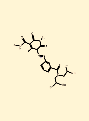 CCCCC(CC)CN(CC(CC)CCCC)C(=O)c1cccc(/N=N/C2C(=O)N(CC)C(=O)C(C(=O)NC(C)C)=C2C)c1